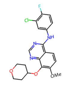 COc1ccc2c(Nc3ccc(F)c(Cl)c3)ncnc2c1OC1CCOCC1